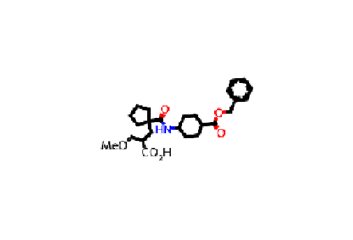 COCC(CC1(C(=O)NC2CCC(C(=O)OCc3ccccc3)CC2)CCCC1)C(=O)O